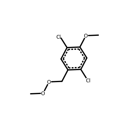 COOCc1cc(Cl)c(OC)cc1Cl